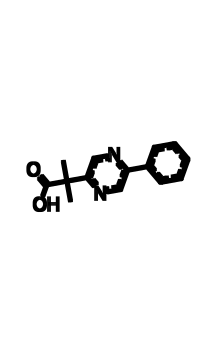 CC(C)(C(=O)O)c1cnc(-c2ccccc2)cn1